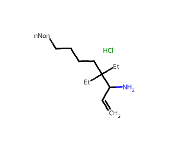 C=CC(N)C(CC)(CC)CCCCCCCCCCCCC.Cl